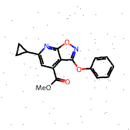 COC(=O)c1cc(C2CC2)nc2onc(Oc3ccccc3)c12